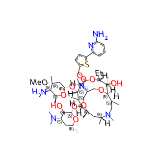 CC[C@H]1OC(=O)[C@H](C)[C@@H](O[C@H]2C[C@@](C)(OC)[C@H](N)[C@H](C)O2)[C@H](C)[C@@H](O[C@@H]2O[C@H](C)C[C@H](N(C)C)[C@H]2O)[C@@]2(C)C[C@@H](C)N(C)C[C@H](C)[C@@H](OC/C(=N\OCc3ccc(-c4cccc(N)n4)s3)CO2)[C@]1(C)O